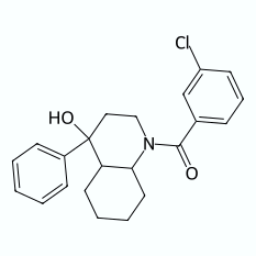 O=C(c1cccc(Cl)c1)N1CCC(O)(c2ccccc2)C2CCCCC21